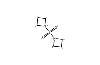 O=S(=O)(N1CCC1)N1CCC1